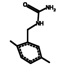 Cc1ccc(C)c(CNC(N)=O)c1